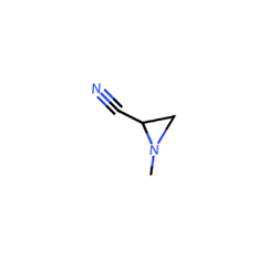 CN1CC1C#N